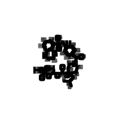 CC(C)CC1(OC(=O)OCOP(=O)(O)O)CCN(C(=O)c2ccc(NS(=O)(=O)c3cccc4nccnc34)cc2)CC1